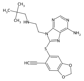 C#Cc1cc2c(cc1Sc1nc3c(N)ncnc3n1CCNCC(C)(C)C)OCO2